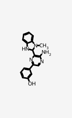 CN1c2ccccc2NC1c1nc(-c2cccc(O)c2)cnc1N